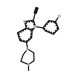 C#Cc1nc2ccc(N3CCN(C)CC3)cc2n1-c1cccc(Cl)c1